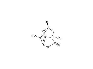 CC1C2=C3O[C@@H]1C[C@@]3(C)C(=O)O2